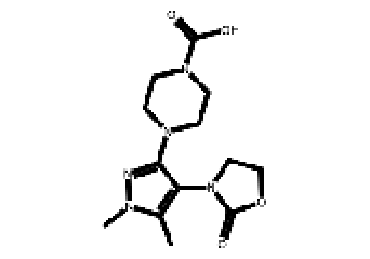 Cc1c(N2CCOC2=O)c(N2CCN(C(=O)O)CC2)nn1C